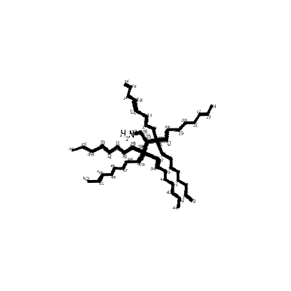 CCCCCCCCC(CCCCCCCC)(CCCCCCCC)C(CN)C(CCCCCCCC)(CCCCCCCC)CCCCCCCC